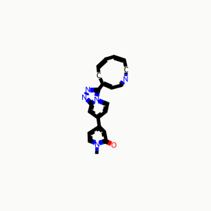 Cn1ccc(-c2ccn3c(/C4=C/C=N\C/C=C\C=C/C4)nnc3c2)cc1=O